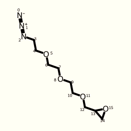 [N-]=[N+]=NCCOCCOCCOCC1CO1